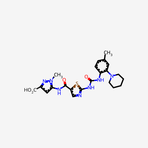 Cc1ccc(NC(=O)Nc2ncc(C(=O)Nc3cc(C(=O)O)nn3C)s2)c(N2CCCCC2)c1